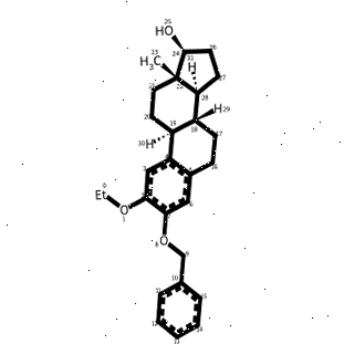 CCOc1cc2c(cc1OCc1ccccc1)CC[C@@H]1[C@@H]2CC[C@]2(C)[C@@H](O)CC[C@@H]12